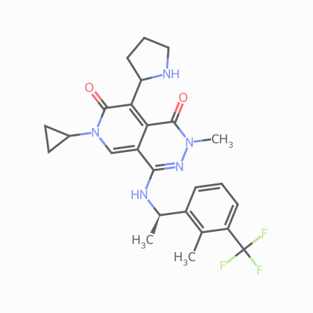 Cc1c([C@@H](C)Nc2nn(C)c(=O)c3c(C4CCCN4)c(=O)n(C4CC4)cc23)cccc1C(F)(F)F